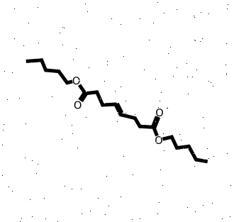 CCCCCOC(=O)CCC=CCCC(=O)OCCCCC